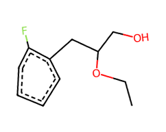 CCOC(CO)Cc1ccccc1F